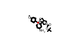 COc1ccc(CN2OCC3CN(C(=O)OC(C)(C)C)CC32c2cc(N)ccn2)cc1